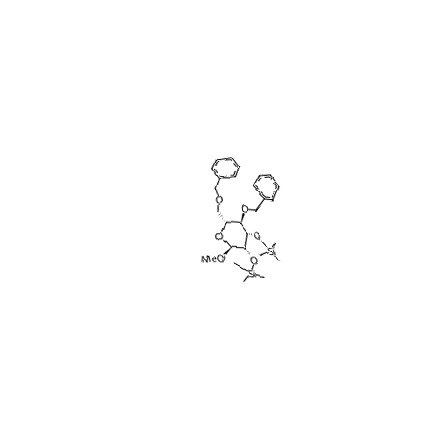 CO[C@H]1O[C@H](COCc2ccccc2)[C@@H](OCc2ccccc2)[C@H](O[Si](C)(C)C)[C@@H]1O[Si](C)(C)C